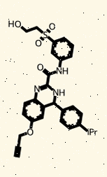 C#CCOc1ccc2c(c1)C(c1ccc(C(C)C)cc1)NC(C(=O)Nc1cccc(S(=O)(=O)CCO)c1)=N2